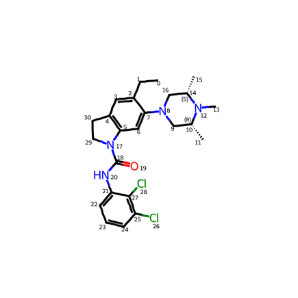 CCc1cc2c(cc1N1C[C@@H](C)N(C)[C@@H](C)C1)N(C(=O)Nc1cccc(Cl)c1Cl)CC2